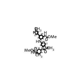 COC(=O)Nc1cc(Nc2cc3c(cn2)n(C)c(=O)n3C2CCC(C)(NC(=O)OC)CC2)cc(-c2cnn(C)c2)c1